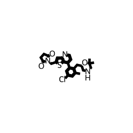 Cc1cc(Cl)cc(-c2ccnc3cc(CN4C(=O)CCC4=O)sc23)c1CC1CNCC(C)(C)O1